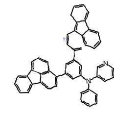 C=C(/C=C\C1=C2CC=CC=C2c2ccccc21)c1cc(-c2ccc3c4c(cccc24)-c2ccccc2-3)cc(N(c2ccccc2)c2cccnc2)c1